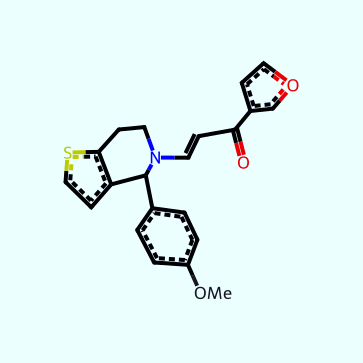 COc1ccc(C2c3ccsc3CCN2C=CC(=O)c2ccoc2)cc1